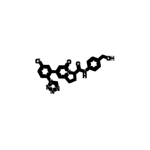 O=C(Nc1ccc(CO)cc1)C1CCc2cc(-c3cc(Cl)ccc3-n3cnnn3)cc(=O)n21